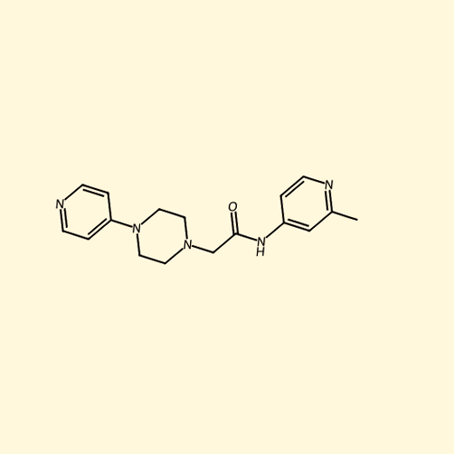 Cc1cc(NC(=O)CN2CCN(c3ccncc3)CC2)ccn1